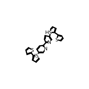 C1=C[SH](c2ccc(-c3ccc([SH]4C=CC=C4c4cccs4)cn3)nc2)C(c2cccs2)=C1